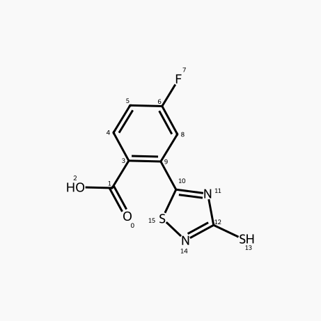 O=C(O)c1ccc(F)cc1-c1nc(S)ns1